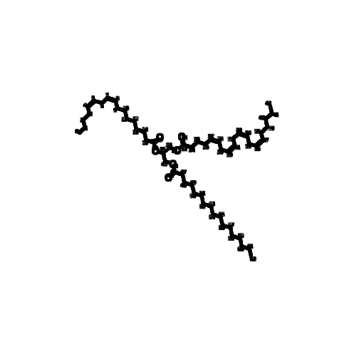 CCCC/C=C\C/C=C\CCCCCCCC(=O)O[C@@H](COC(=O)CCC/C=C\C/C=C\C/C=C\C/C=C\CCCCC)COC(=O)CCCCCCCCCCCCCCCC